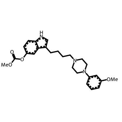 COC(=O)Oc1ccc2[nH]cc(CCCCN3CCN(c4cccc(OC)c4)CC3)c2c1